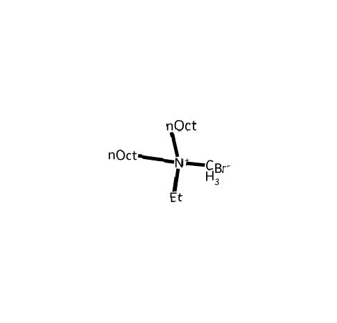 CCCCCCCC[N+](C)(CC)CCCCCCCC.[Br-]